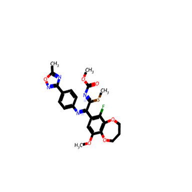 COC(=O)/N=C(SC)/C(=N\c1ccc(-c2noc(C)n2)cc1)c1cc(OC)c2c(c1F)OCCCO2